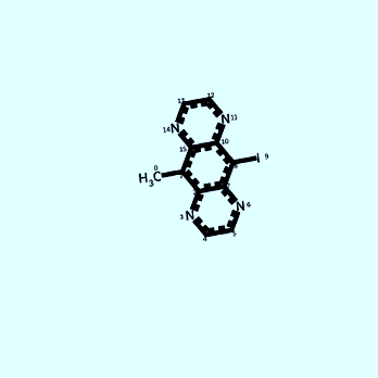 Cc1c2nccnc2c(I)c2nccnc12